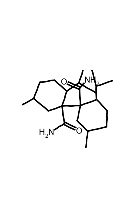 CC1CCC(C(C)C)C(C(N)=O)(C2(C(N)=O)CC(C)CCC2C(C)C)C1